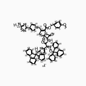 COc1ccc(COC(=O)C2=C(C[n+]3ccc(-c4nsc(N)n4)cc3)CS[C@H]3[C@H](NC(=O)C(=NOC(c4ccccc4)(c4ccccc4)c4ccccc4)c4csc(NC(c5ccccc5)(c5ccccc5)c5ccccc5)n4)C(=O)N23)cc1.[I-]